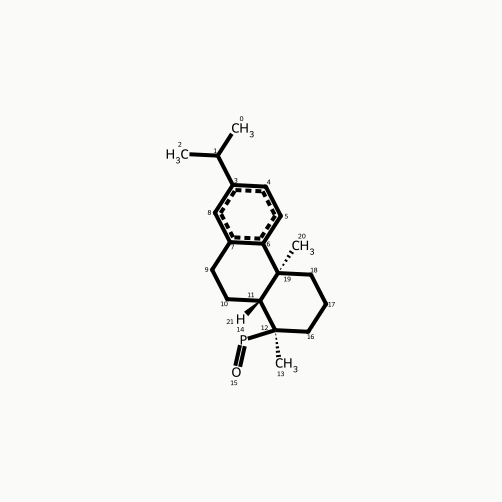 CC(C)c1ccc2c(c1)CC[C@H]1[C@](C)(P=O)CCC[C@]21C